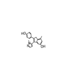 Cc1cc(O)cc2c1CC(c1ccc(O)cc1)=C2c1ccnn1C